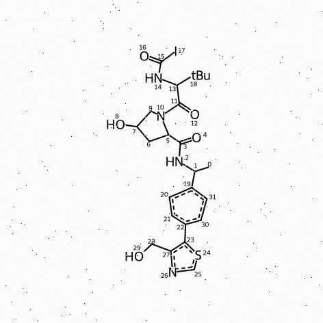 CC(NC(=O)C1CC(O)CN1C(=O)C(NC(=O)I)C(C)(C)C)c1ccc(-c2scnc2CO)cc1